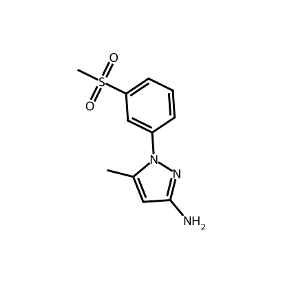 Cc1cc(N)nn1-c1cccc(S(C)(=O)=O)c1